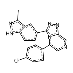 Cc1n[nH]c2ccc(-c3nnc4cncc(-c5ccc(Cl)cc5)n34)cc12